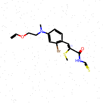 C=COCCN(C)c1ccc(/C=C(\SC)C(=O)NC=S)c(Br)c1